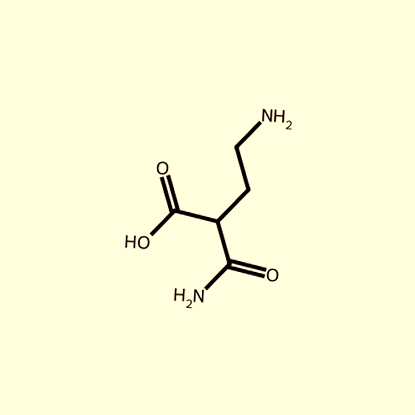 NCCC(C(N)=O)C(=O)O